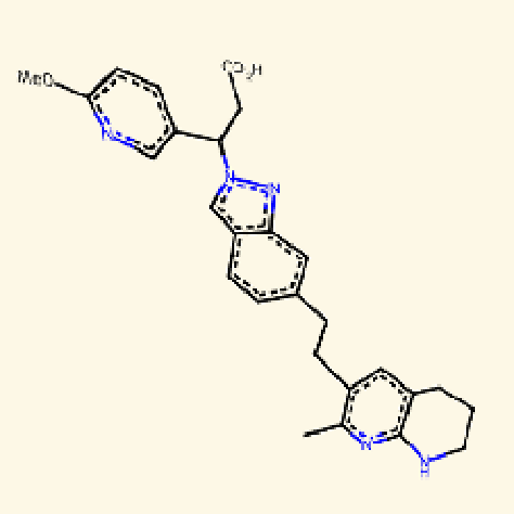 COc1ccc(C(CC(=O)O)n2cc3ccc(CCc4cc5c(nc4C)NCCC5)cc3n2)cn1